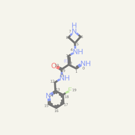 N=C/C(=C\NC1CNC1)C(=O)NCc1ncccc1F